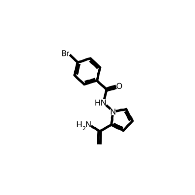 C=C(N)c1cccn1NC(=O)c1ccc(Br)cc1